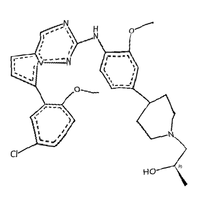 COc1cc(C2CCN(C[C@@H](C)O)CC2)ccc1Nc1ncc2ccc(-c3cc(Cl)ccc3OC)n2n1